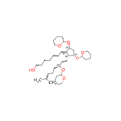 CC(C)=CCC[C@@H](C=C[C@@H]1[C@@H](CC=CCCCCO)[C@@H](OC2CCCCO2)C[C@H]1OC1CCCCO1)OC1CCCCO1